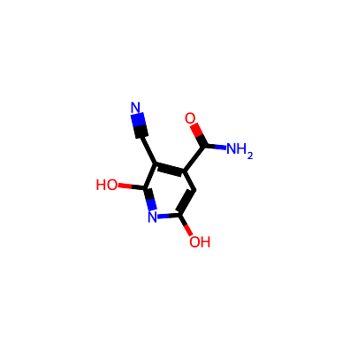 N#Cc1c(C(N)=O)cc(O)nc1O